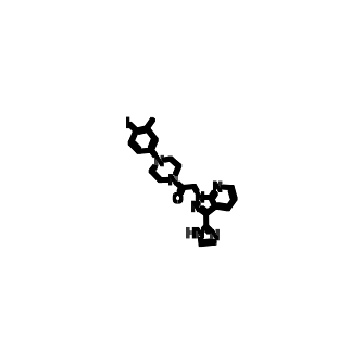 Cc1cc(N2CCN(C(=O)Cn3nc(-c4ncc[nH]4)c4cccnc43)CC2)ccc1I